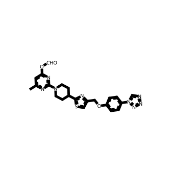 Cc1cc(OC=O)nc(N2CCC(c3nc(COc4ccc(-n5cnnn5)cc4)cs3)CC2)n1